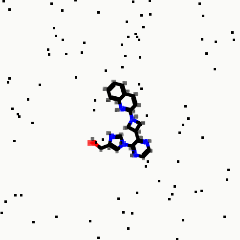 OCc1cn(-c2nccnc2C2CN(c3ccc4ccccc4n3)C2)cn1